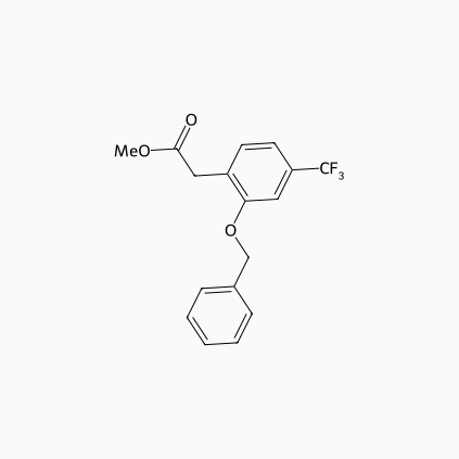 COC(=O)Cc1ccc(C(F)(F)F)cc1OCc1ccccc1